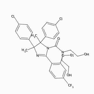 CCOc1cc(C(F)(F)F)ccc1C1=NC(C)(c2ccc(Cl)cc2)C(C)(c2ccc(Cl)cc2)N1C(=O)N(CCO)CCO